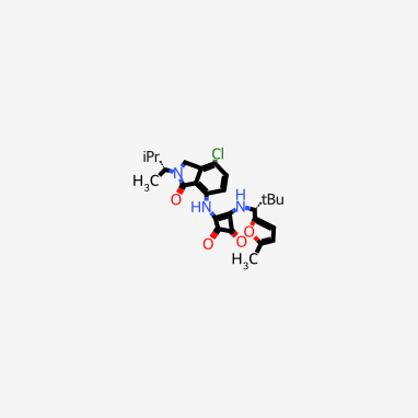 Cc1ccc([C@H](Nc2c(Nc3ccc(Cl)c4c3C(=O)N([C@H](C)C(C)C)C4)c(=O)c2=O)C(C)(C)C)o1